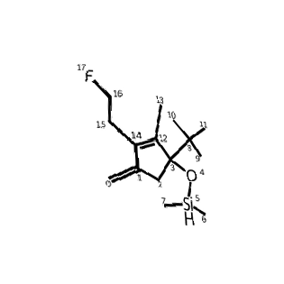 C=C1CC(O[SiH](C)C)(C(C)(C)C)C(C)=C1CCF